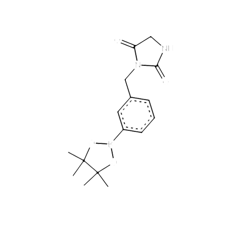 CC1(C)OB(c2cccc(CN3C(=O)CNC3=O)c2)OC1(C)C